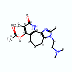 Cc1nc2c(n1CCN(C)C)CCCc1c-2[nH]c(=O)c(C(=O)O)c1OC(=O)C(F)(F)F